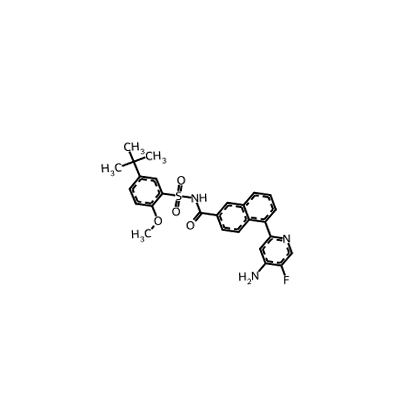 COc1ccc(C(C)(C)C)cc1S(=O)(=O)NC(=O)c1ccc2c(-c3cc(N)c(F)cn3)cccc2c1